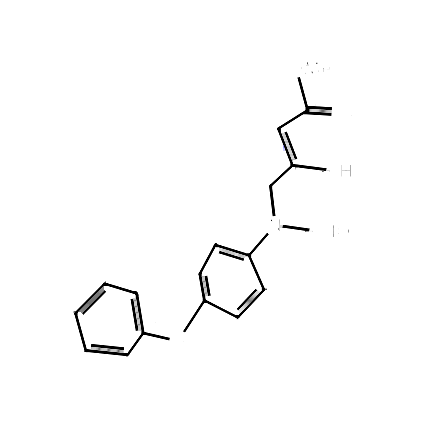 COC(=O)/C=C(\C)CN(C=O)c1ccc(Oc2ccccc2)cc1